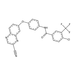 N#Cc1cnc2ccc(Oc3ccc(NC(=O)c4ccc(Cl)c(C(F)(F)F)c4)cc3)cc2n1